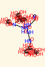 C[C@@H]1O[C@H](OCCN(CCCCCCNC(=O)CN(CC(=O)NCCCCCC(=O)NCCOC2O[C@H](CO[C@H]3O[C@H](CO)[C@@H](O)[C@H](O)[C@@H]3O)[C@@H](O)[C@H](O[C@H]3O[C@H](CO)[C@@H](O)[C@H](O)[C@@H]3O)[C@@H]2O)CC(=O)NCCCCCC(=O)ON2C(=O)CCC2=O)CCO[C@H]2O[C@H](CO[C@H]3O[C@H](CO)[C@@H](O)[C@H](O)[C@@H]3O)[C@@H](O)[C@H](O[C@H]3O[C@H](CO)[C@@H](O)[C@H](O)[C@@H]3O)[C@@H]2O)[C@@H](O)[C@H](O)[C@@H]1O